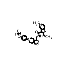 CCc1nc2ccn(C)cc-2c1C(=O)NCC1SSCC12CCN(c1ccc(OC(F)(F)F)cc1)CC2